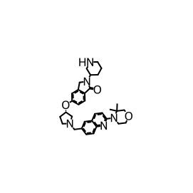 CC1(C)COCCN1c1ccc2cc(CN3CC[C@H](Oc4ccc5c(c4)CN(C4CCCNC4)C5=O)C3)ccc2n1